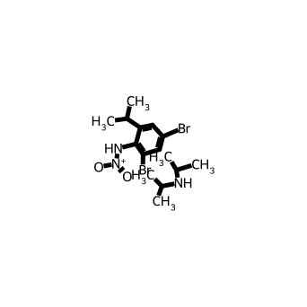 CC(C)NC(C)C.CC(C)c1cc(Br)cc(Br)c1N[N+](=O)[O-]